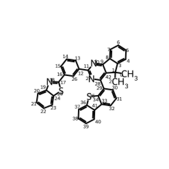 CC1(C)c2ccccc2-c2nc(-c3cccc(-c4nc5ccccc5s4)c3)nc(-c3cccc4c3sc3ccccc34)c21